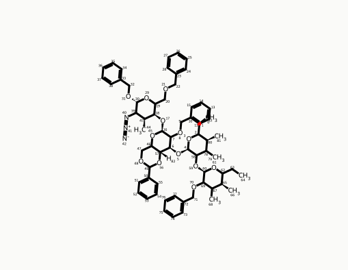 CCC1O[C@H](O[C@@H]2C(OCc3ccccc3)[C@H](O[C@@H]3C(COCc4ccccc4)O[C@@H](OCc4ccccc4)C(N=[N+]=[N-])[C@@H]3C)OC3COC(c4ccccc4)O[C@H]32)C(O[C@H]2OC(CC)[C@@H](C)C(C)C2OCc2ccccc2)C(C)[C@@H]1C